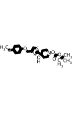 CSc1ccc(OCc2csc(C3(O)CCN(OC(=O)OC(C)(C)C)CC3)n2)cc1